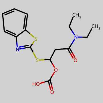 CCN(CC)C(=O)CC(OC(=O)O)Sc1nc2ccccc2s1